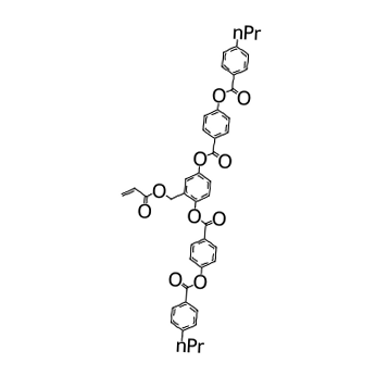 C=CC(=O)OCc1cc(OC(=O)c2ccc(OC(=O)c3ccc(CCC)cc3)cc2)ccc1OC(=O)c1ccc(OC(=O)c2ccc(CCC)cc2)cc1